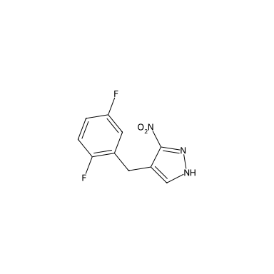 O=[N+]([O-])c1n[nH]cc1Cc1cc(F)ccc1F